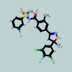 Cc1cc(C2=NOC(c3cc(Cl)c(F)c(Cl)c3)(C(F)(F)F)C2)ccc1C(=O)N=S(C)(=O)c1cccc(F)c1